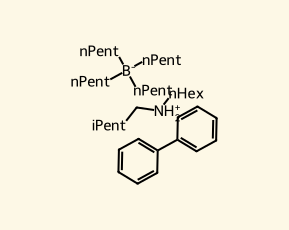 CCCCCC[NH2+]CC(C)CCC.CCCCC[B-](CCCCC)(CCCCC)CCCCC.c1ccc(-c2ccccc2)cc1